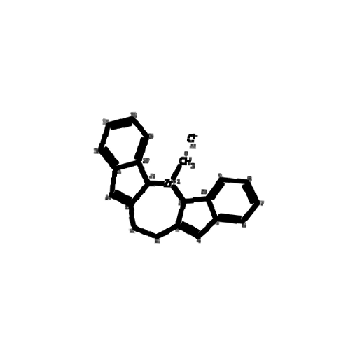 [CH3][Zr+]1[CH]2C(=Cc3ccccc32)CCC2=Cc3ccccc3[CH]21.[Cl-]